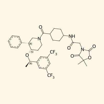 C[C@@H](O[C@H]1CCN(C(=O)C2CCC(NC(=O)CN3C(=O)OC(C)(C)C3=O)CC2)C[C@H]1c1ccccc1)c1cc(C(F)(F)F)cc(C(F)(F)F)c1